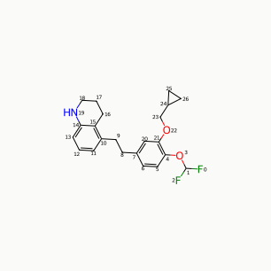 FC(F)Oc1ccc(CCc2cccc3c2CCCN3)cc1OCC1CC1